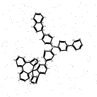 c1ccc(-c2ccc(N(c3ccc(-c4ccc5c(c4)C4(c6ccccc6-c6ccccc6-c6ccccc64)c4ccccc4-5)cc3)c3ccc(-c4ccc5ccccc5c4)cc3)cc2)cc1